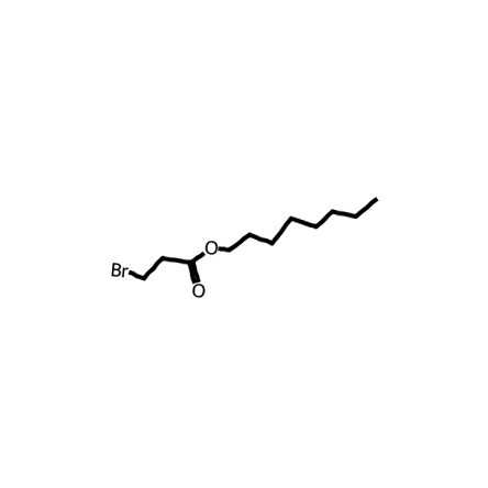 CCCCCCCCOC(=O)CCBr